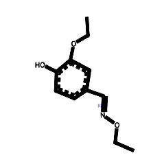 CCO/N=C/c1ccc(O)c(OCC)c1